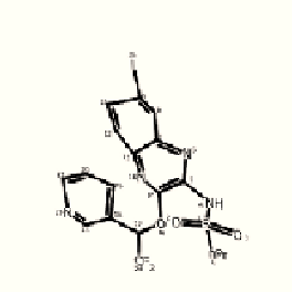 CCCS(=O)(=O)Nc1nc2cc(I)ccc2nc1OC(c1cccnc1)C(F)(F)F